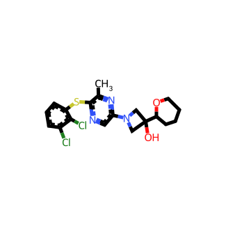 Cc1nc(N2CC(O)(C3CCCCO3)C2)cnc1Sc1cccc(Cl)c1Cl